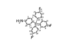 Nc1ccc(C(c2ccc(F)cc2)(c2ccc(F)cc2)c2ccc(F)cc2)cc1